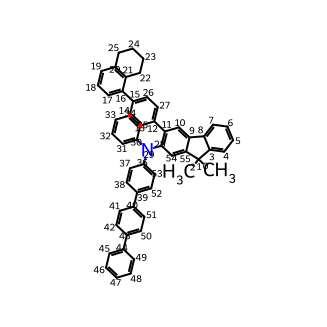 CC1(C)c2ccccc2-c2cc(-c3ccc(-c4cccc5c4CCCC5)cc3)c(N(c3ccccc3)c3ccc(-c4ccc(-c5ccccc5)cc4)cc3)cc21